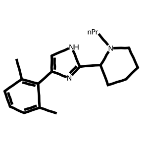 CCCN1CCCCC1c1nc(-c2c(C)cccc2C)c[nH]1